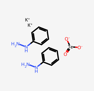 NNc1ccccc1.NNc1ccccc1.O=[Te]([O-])[O-].[K+].[K+]